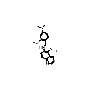 CN(C)c1ccc(CNc2ccc3ncccc3c2N)c(O)c1